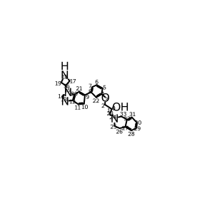 OC(COc1cccc(-c2ccc3ncn(C4CNC4)c3c2)c1)CN1CCc2ccccc2C1